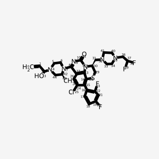 C=CC(O)N1CCN(c2nc(=O)n3c4c(c(-c5ccc(F)cc5F)c(Cl)cc24)SC[C@@H]3CN2CCN(CC(F)F)CC2)[C@@H](C)C1